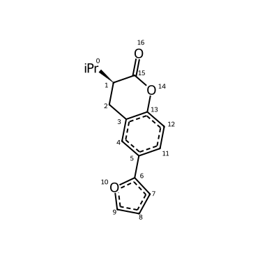 CC(C)[C@@H]1Cc2cc(-c3ccco3)ccc2OC1=O